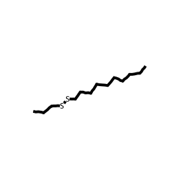 CCCCCCCCCCSSCCC